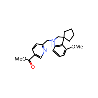 COC(=O)c1ccc(CNCC2(c3ccccc3OC)CCCC2)nc1